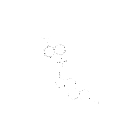 CN(C)c1cccc2c(S(=O)(=O)N/N=C3/CCC4C5CC=C6C[C@@H](O)CC[C@]6(C)C5CC[C@]34C)cccc12